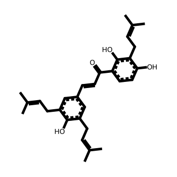 CC(C)=CCc1cc(/C=C/C(=O)c2ccc(O)c(CC=C(C)C)c2O)cc(CC=C(C)C)c1O